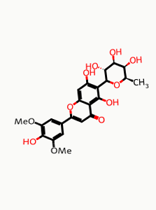 COc1cc(-c2cc(=O)c3c(O)c(C4O[C@H](C)[C@H](O)[C@H](O)[C@H]4O)c(O)cc3o2)cc(OC)c1O